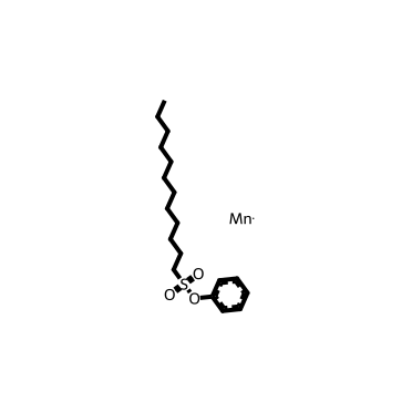 CCCCCCCCCCCCS(=O)(=O)Oc1ccccc1.[Mn]